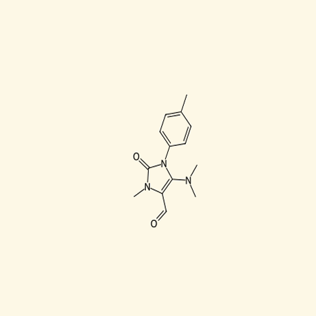 Cc1ccc(-n2c(N(C)C)c(C=O)n(C)c2=O)cc1